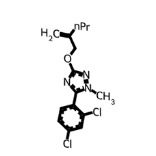 C=C(CCC)COc1nc(-c2ccc(Cl)cc2Cl)n(C)n1